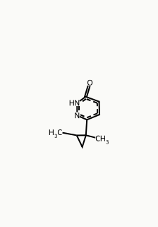 CC1CC1(C)c1ccc(=O)[nH]n1